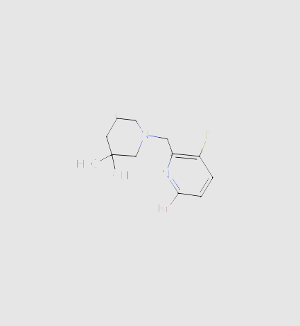 CC1(C)CCCN(Cc2nc(Br)ccc2F)C1